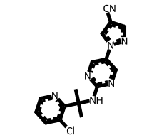 CC(C)(Nc1ncc(-n2cc(C#N)cn2)cn1)c1ncccc1Cl